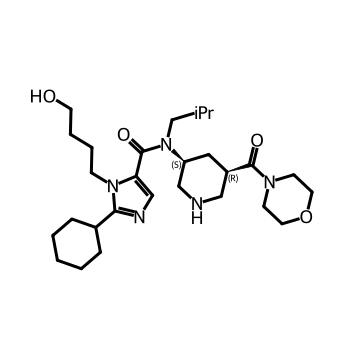 CC(C)CN(C(=O)c1cnc(C2CCCCC2)n1CCCCO)[C@@H]1CNC[C@H](C(=O)N2CCOCC2)C1